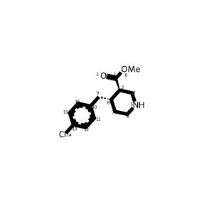 COC(=O)[C@H]1CNCC[C@@H]1Cc1ccc(Cl)cc1